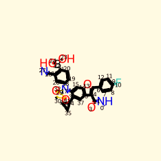 CNC(=O)c1c(-c2ccc(F)cc2)oc2cc(N(c3ccc(B(O)O)c(C#N)c3)S(C)(=O)=O)c(C3CC3)cc12